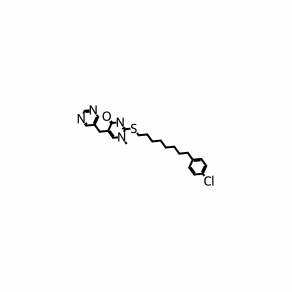 Cn1cc(Cc2cncnc2)c(=O)nc1SCCCCCCCCc1ccc(Cl)cc1